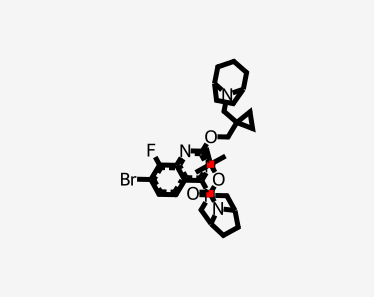 CC(C)(C)OC(=O)N1C2CCC1CN(c1nc(OCC3(CN4C5CCCC4CC5)CC3)nc3c(F)c(Br)ccc13)C2